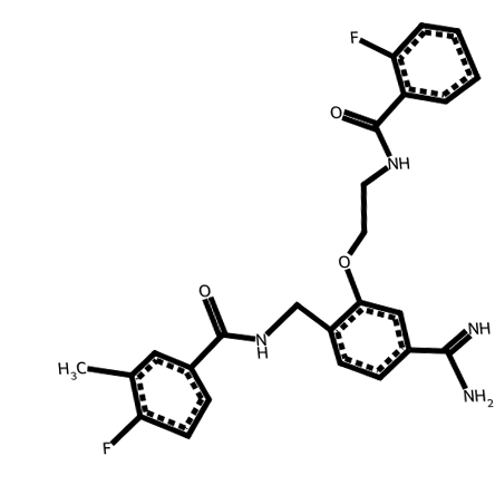 Cc1cc(C(=O)NCc2ccc(C(=N)N)cc2OCCNC(=O)c2ccccc2F)ccc1F